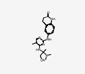 Cc1cnc(Nc2ccc3c(c2)CCC(=O)N3)nc1NC(C)(CO)N(C)C